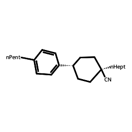 CCCCCCC[C@]1(C#N)CC[C@H](c2ccc(CCCCC)cc2)CC1